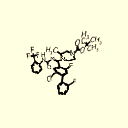 CC1CN(C(=O)OC(C)(C)C)CCN1C(=NC(=O)Nc1ccccc1C(F)(F)F)c1cc(Cl)c(-c2ccccc2F)cc1F